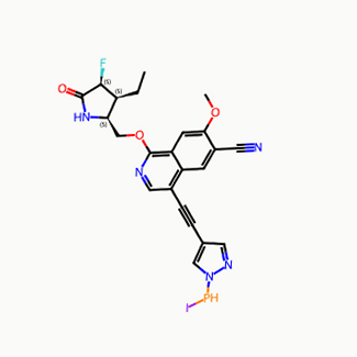 CC[C@@H]1[C@H](F)C(=O)N[C@@H]1COc1ncc(C#Cc2cnn(PI)c2)c2cc(C#N)c(OC)cc12